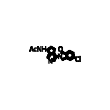 CC(=O)N[C@H]1CCc2c1cncc2N1Cc2cc(Cl)ccc2C1=O